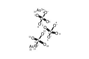 O=S(=O)([O-])[O-].O=S(=O)([O-])[O-].O=S(=O)([O-])[O-].[As+3].[As+3]